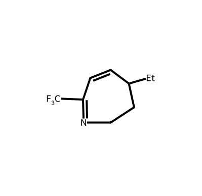 CCC1C=CC(C(F)(F)F)=NCC1